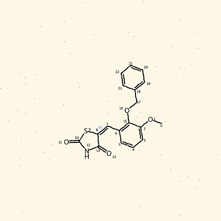 COc1cccc(/C=C2/SC(=O)NC2=O)c1OCc1ccccc1